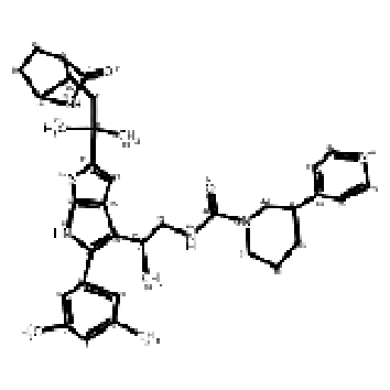 Cc1cc(C)cc(-c2[nH]c3sc(C(C)(C)CC4C5CCC4C(=O)N5)cc3c2[C@H](C)CNC(=O)N2CCCC(c3ccncc3)C2)c1